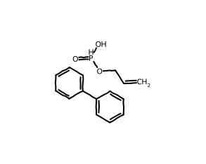 C=CCO[PH](=O)O.c1ccc(-c2ccccc2)cc1